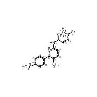 C=C(/C=N\N(C)CC)Nc1ncc(C)c(-c2ccc(C(=O)O)cc2)n1